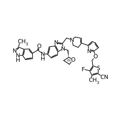 Cc1c(C#N)sc(COc2cccc(C3=CCN(Cc4nc5cc(NC(=O)c6ccc7[nH]nc(C)c7c6)ccc5n4C[C@@H]4CCO4)CC3)n2)c1F